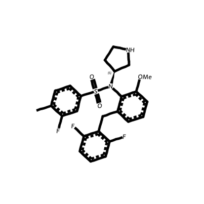 COc1cccc(Cc2c(F)cccc2F)c1N([C@H]1CCNC1)S(=O)(=O)c1ccc(C)c(F)c1